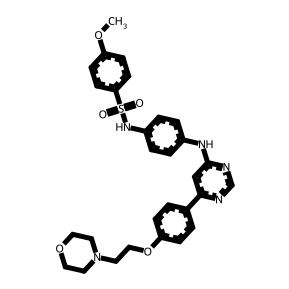 COc1ccc(S(=O)(=O)Nc2ccc(Nc3cc(-c4ccc(OCCN5CCOCC5)cc4)ncn3)cc2)cc1